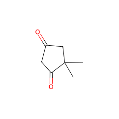 CC1(C)CC(=O)CC1=O